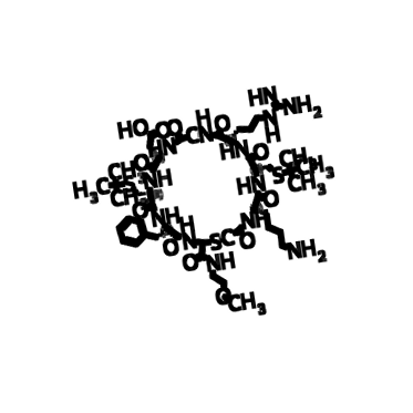 COCCNC(=O)C1NC(=O)[C@H](Cc2ccccc2)NC(=O)[C@H](CSC(C)(C)C)NC(=O)[C@H](CC(=O)O)NC(=O)CNC(=O)[C@H](CCCNC(=N)N)NC(=O)[C@H](CSC(C)(C)C)NC(=O)[C@H](CCCCN)NC(=O)CS1